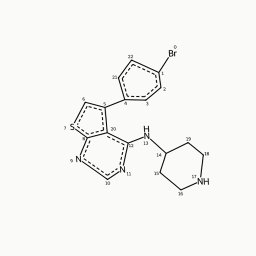 Brc1ccc(-c2csc3ncnc(NC4CCNCC4)c23)cc1